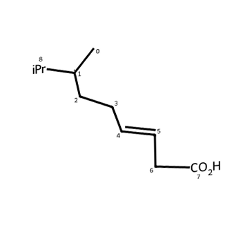 C[C](CCC=CCC(=O)O)C(C)C